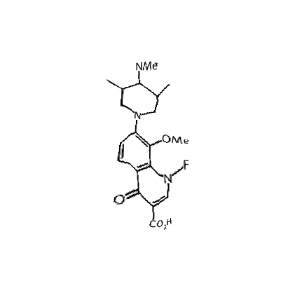 CNC1C(C)CN(c2ccc3c(=O)c(C(=O)O)cn(F)c3c2OC)CC1C